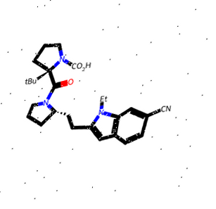 CCn1c(CC[C@@H]2CCCN2C(=O)[C@]2(C(C)(C)C)CCCN2C(=O)O)cc2ccc(C#N)cc21